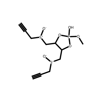 C#CC[S+]([O-])CC1O[P](O)(OC)OC1C[S+]([O-])CC#C